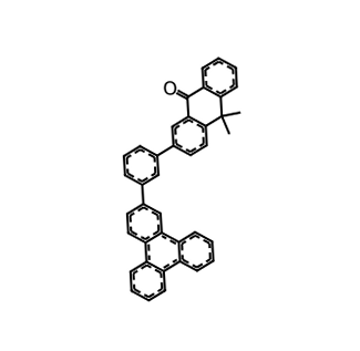 CC1(C)c2ccccc2C(=O)c2cc(-c3cccc(-c4ccc5c6ccccc6c6ccccc6c5c4)c3)ccc21